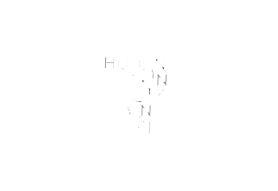 Cc1cc(-c2cccc(Cl)n2)nc2c(C(=O)O)ncn12